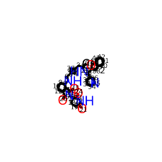 C=C(CC12CC(CNc3cccc4c3C(=O)N(C3CCC(=O)NC3=O)C4=O)(C1)C2)NC(c1cccnc1)c1cc2ccccc2o1